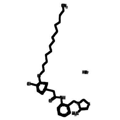 Br.CCCCCCCCCCCCCCOc1cc(CC(=O)Nc2ccccc2CN2CSC=C2C)ccc1Cl